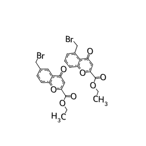 CCOC(=O)c1cc(=O)c2c(CBr)cccc2o1.CCOC(=O)c1cc(=O)c2cc(CBr)ccc2o1